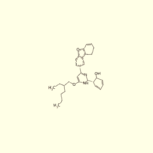 CCCCC(CC)COC1=CC(c2ccc3oc4c(c3c2)CCC=C4)=NC(C2C=CC=CC2O)N1